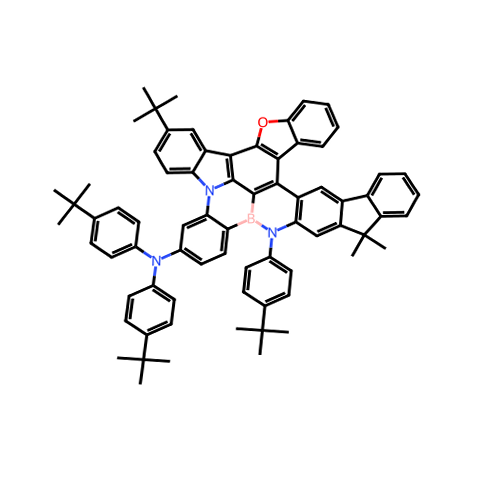 CC(C)(C)c1ccc(N2B3c4ccc(N(c5ccc(C(C)(C)C)cc5)c5ccc(C(C)(C)C)cc5)cc4-n4c5ccc(C(C)(C)C)cc5c5c6oc7ccccc7c6c(c3c54)-c3cc4c(cc32)C(C)(C)c2ccccc2-4)cc1